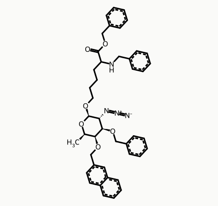 C[C@H]1O[C@@H](OCCCCC(NCc2ccccc2)C(=O)OCc2ccccc2)[C@H](N=[N+]=[N-])[C@@H](OCc2ccccc2)[C@H]1OCc1ccc2ccccc2c1